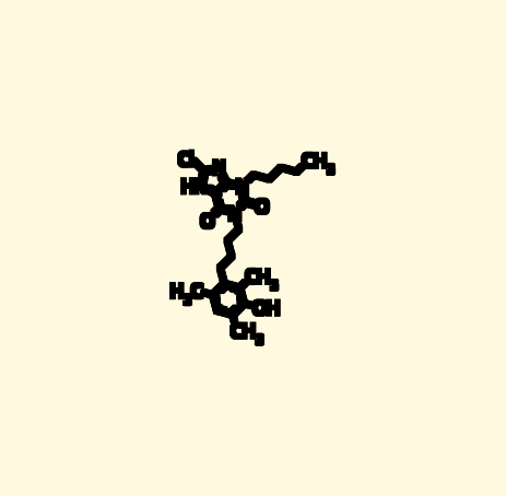 CCCCCn1c(=O)n(CCCCc2c(C)cc(C)c(O)c2C)c(=O)c2[nH]c(Cl)nc21